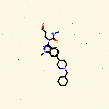 CNC(=O)N(CCC=O)c1nn(C)c2cc(C3CCN(CC4CCCCC4)CC3)ccc12